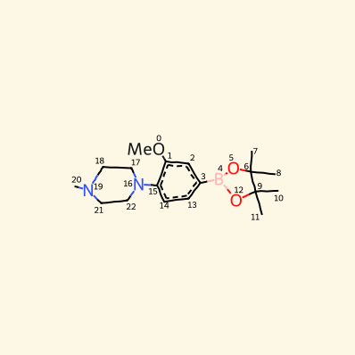 COc1cc(B2OC(C)(C)C(C)(C)O2)ccc1N1CCN(C)CC1